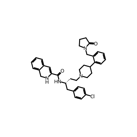 O=C(N[C@H](CCN1CCC(c2ccccc2CN2CCCC2=O)CC1)Cc1ccc(Cl)cc1)C1=Cc2ccccc2CN1